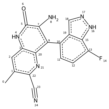 Cc1cc2[nH]c(=O)c(N)c(-c3ccc(F)c4[nH]ncc34)c2nc1C#N